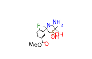 COC(=O)c1ccc(F)c(C2(C)CS(O)(O)C(C)(C)C(N)=N2)c1